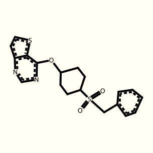 O=S(=O)(Cc1ccccc1)C1CCC(Oc2ncnc3ccsc23)CC1